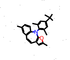 Cc1ccc2c(c1)C=Cc1cc(C)oc1N2c1c(C)cc(C(C)(C)C)cc1C